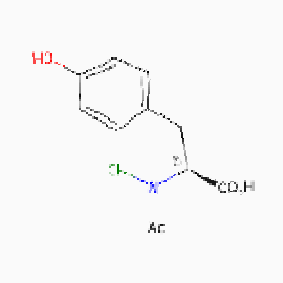 CC(=O)N(Cl)[C@@H](Cc1ccc(O)cc1)C(=O)O